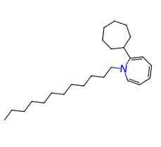 CCCCCCCCCCCCN1C=CC=CC=C1C1CCCCCC1